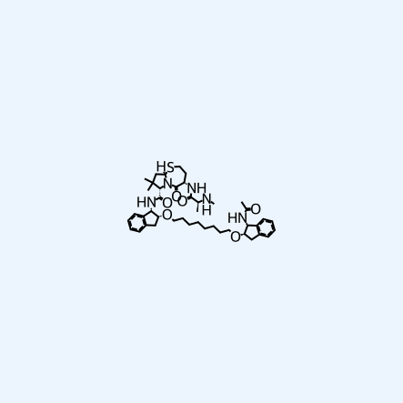 CN[C@@H](C)C(=O)N[C@H]1CCS[C@H]2CC(C)(C)[C@@H](C(=O)N[C@H]3c4ccccc4C[C@H]3OCCCCCCCCO[C@@H]3Cc4ccccc4[C@@H]3NC(C)=O)N2C1=O